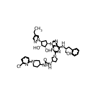 CCc1cnn([C@H]2C[C@@H](n3cnc4c(N[C@H](CO)Cc5ccccc5)nc(N5CC[C@@H](NC(=O)NC6CCN(c7cccc(Cl)n7)CC6)C5)nc43)[C@H](O)[C@@H]2O)c1